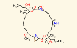 C/C=C/[C@H](O)C(C)(C)[C@@H]1C\C=C/C=C\C=C\[C@H](OC)Cc2nc(cs2)C(=O)O[C@H](C(C)(C)[C@@H](O)/C=C/C)C/C=C\[C@H]2N[C@H]2/C=C/C=C\c2nc(co2)C(=O)O1